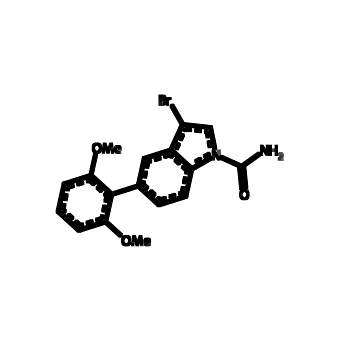 COc1cccc(OC)c1-c1ccc2c(c1)c(Br)cn2C(N)=O